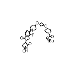 CC(C)(C)OC(=O)N1CCC(O[C@H]2C[C@H](OC3CCN(c4ccc5c(c4F)CN(C4CCC(=O)NC4=O)C5=O)CC3)C2)CC1